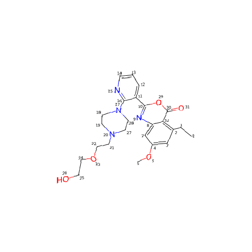 CCc1cc(OC)cc2nc(-c3cccnc3N3CCN(CCOCCO)CC3)oc(=O)c12